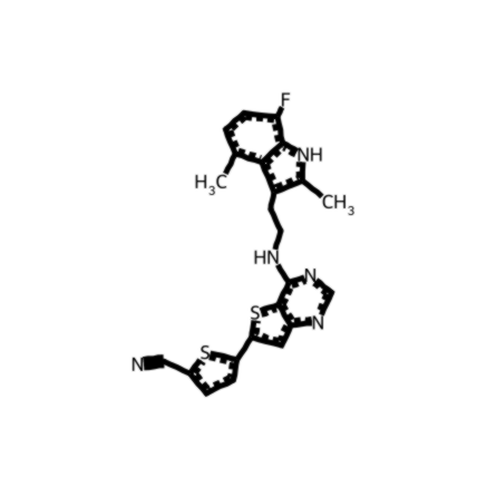 Cc1[nH]c2c(F)ccc(C)c2c1CCNc1ncnc2cc(-c3ccc(C#N)s3)sc12